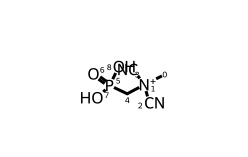 C[N+](C#N)(C#N)CP(=O)(O)O